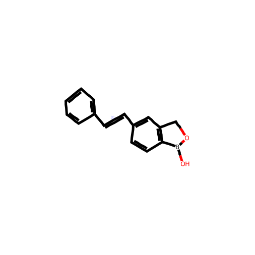 OB1OCc2cc(/C=C/c3ccccc3)ccc21